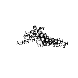 CC(=O)NCCN(CC1CC1)C[C@H](OC(C)=O)[C@@]12CC[C@]3(C)[C@H](CC[C@@H]4[C@@]5(C)CC[C@H](OC(=O)CC(C)(C)C(=O)O)C(C)(C)[C@@H]5CC[C@]43C)C1=C(C(C)C)C(=O)C2